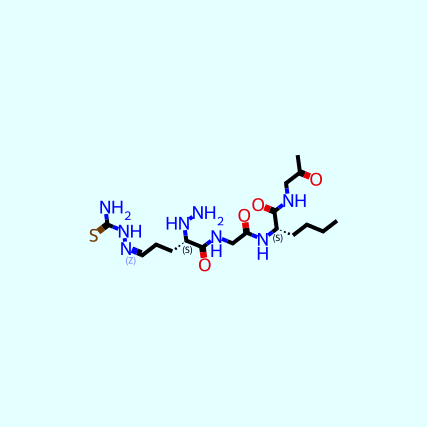 CCCC[C@H](NC(=O)CNC(=O)[C@H](CC/C=N\NC(N)=S)NN)C(=O)NCC(C)=O